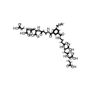 [N-]=[N+]=Nc1cc(C(=O)NCCC(=O)N[C@H](CC(=O)N[C@@H](CCC(=O)O)C(=O)O)C(=O)O)cc(C(=O)NCCC(=O)N[C@H](CC(=O)N[C@@H](CCC(=O)O)C(=O)O)C(=O)O)c1